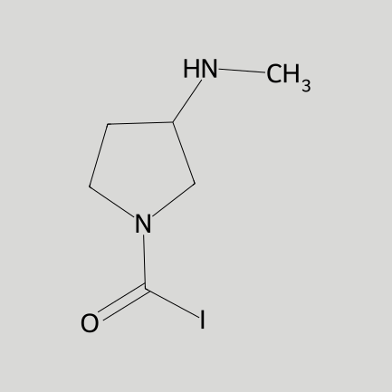 CNC1CCN(C(=O)I)C1